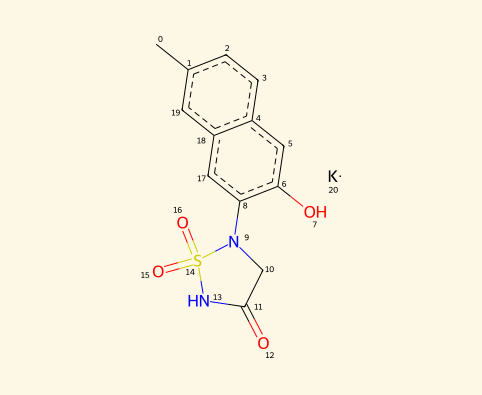 Cc1ccc2cc(O)c(N3CC(=O)NS3(=O)=O)cc2c1.[K]